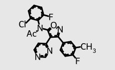 CC(=O)N(c1onc(-c2ccc(F)c(C)c2)c1-c1ccncn1)c1c(F)cccc1Cl